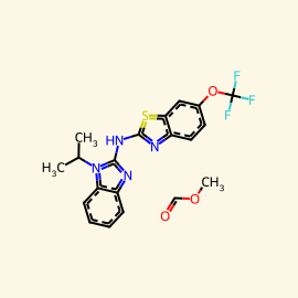 CC(C)n1c(Nc2nc3ccc(OC(F)(F)F)cc3s2)nc2ccccc21.COC=O